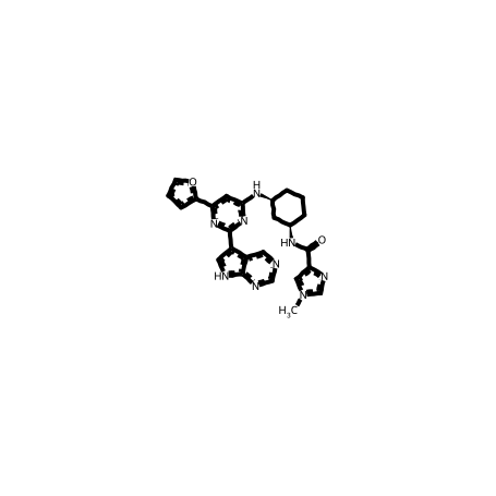 Cn1cnc(C(=O)N[C@@H]2CCC[C@H](Nc3cc(-c4ccco4)nc(-c4c[nH]c5ncncc45)n3)C2)c1